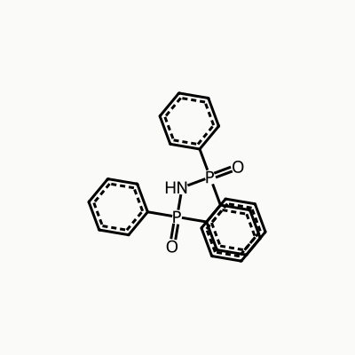 O=P(NP(=O)(c1ccccc1)c1ccccc1)(c1ccccc1)c1ccccc1